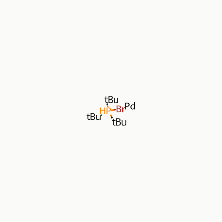 CC(C)(C)[PH](Br)(C(C)(C)C)C(C)(C)C.[Pd]